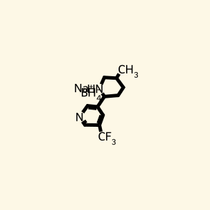 CC1CCC(c2cncc(C(F)(F)F)c2)NC1.[BH4-].[Na+]